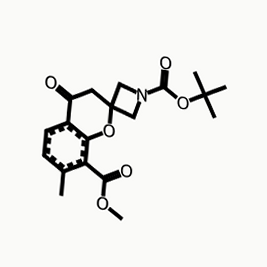 COC(=O)c1c(C)ccc2c1OC1(CC2=O)CN(C(=O)OC(C)(C)C)C1